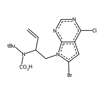 C=CC(Cn1c(Br)cc2c(Cl)ncnc21)N(C(=O)O)C(C)(C)C